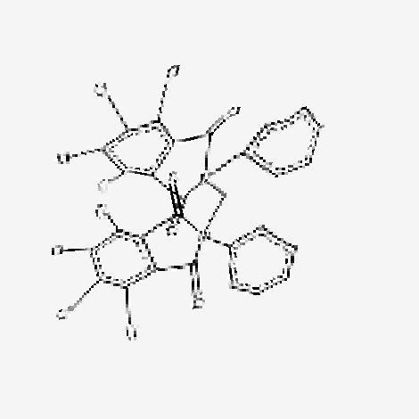 O=C1c2c(Cl)c(Cl)c(Cl)c(Cl)c2C(=O)[N+]1(C[N+]1(c2cc[c]cc2)C(=O)c2c(Cl)c(Cl)c(Cl)c(Cl)c2C1=O)c1cc[c]cc1